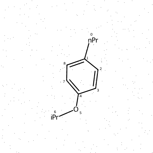 C[CH]Cc1ccc(OC(C)C)cc1